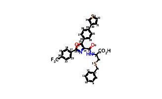 O=C(NC(CSCc1ccccc1)C(=O)O)c1nc(-c2ccc(C(F)(F)F)cc2)oc1-c1ccc(-c2ccsc2)cc1